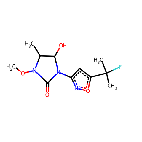 CON1C(=O)N(c2cc(C(C)(C)F)on2)C(O)C1C